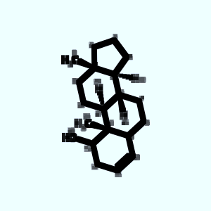 C[C@@]12CCC[C@H]1[C@@H]1CCC3C=CCC(O)[C@]3(C)[C@H]1CC2